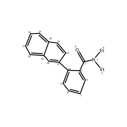 CCN(CC)C(=O)c1ccccc1-c1ccc2ccccc2c1